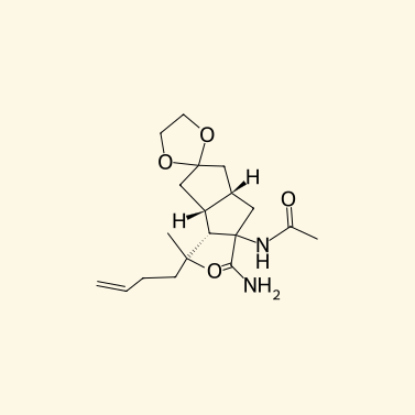 C=CCCC(C)(C)[C@@H]1[C@@H]2CC3(C[C@@H]2CC1(NC(C)=O)C(N)=O)OCCO3